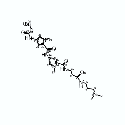 CN(C)CCCNC(=O)CCNC(=O)c1nc(NC(=O)c2cc(NC(=O)OC(C)(C)C)cn2C)cn1C